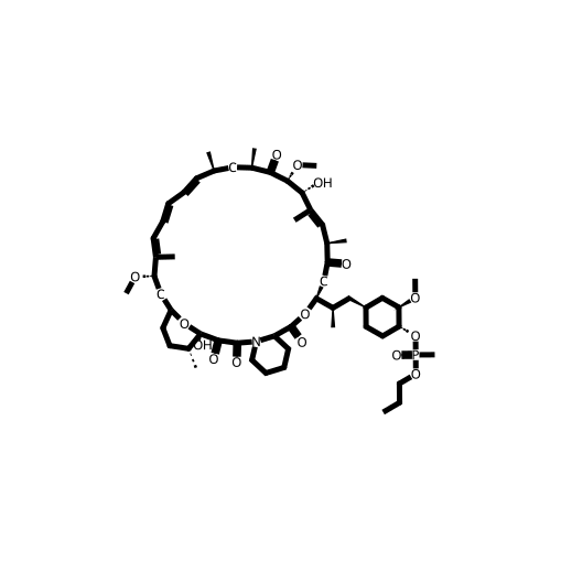 CCCOP(C)(=O)O[C@@H]1CC[C@@H](C[C@@H](C)[C@@H]2CC(=O)[C@H](C)/C=C(\C)[C@@H](O)[C@@H](OC)C(=O)[C@H](C)C[C@H](C)/C=C/C=C/C=C(\C)[C@@H](OC)CC3CC[C@@H](C)[C@@](O)(O3)C(=O)C(=O)N3CCCCC3C(=O)O2)C[C@H]1OC